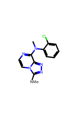 CNc1nnc2c(N(C)c3ccccc3Cl)nccn12